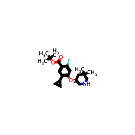 CC1(C)CNC[C@H](Oc2cc(F)c(C(=O)OC(C)(C)C)cc2C2CC2)C1